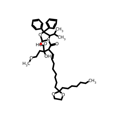 CCCCCCCC1(CCCCCCC=CC(C(=O)N2C(=S)OC(c3ccccc3)(c3ccccc3)C2C(C)C)C(O)(CCOC)C(=O)O)OCCO1